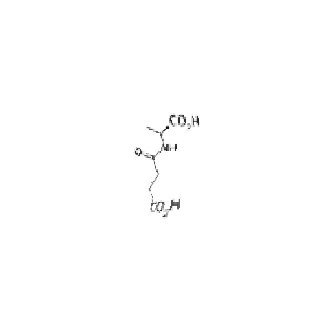 C[C@H](NC(=O)CCC(=O)O)C(=O)O